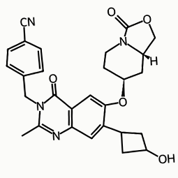 Cc1nc2cc(C3CC(O)C3)c(O[C@H]3CCN4C(=O)OC[C@@H]4C3)cc2c(=O)n1Cc1ccc(C#N)cc1